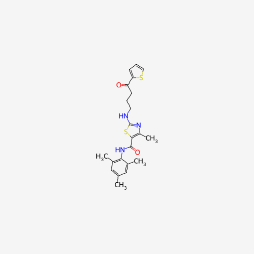 Cc1cc(C)c(NC(=O)c2sc(NCCCC(=O)c3cccs3)nc2C)c(C)c1